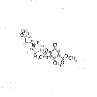 COC(=O)c1cc(Cl)c2c(c1C)OC(C)(C1CCN(C3CC(OC)C3)CC1)O2